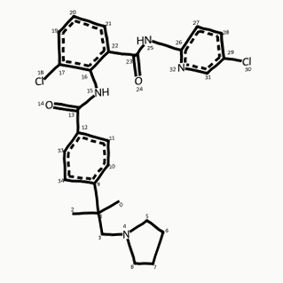 CC(C)(CN1CCCC1)c1ccc(C(=O)Nc2c(Cl)cccc2C(=O)Nc2ccc(Cl)cn2)cc1